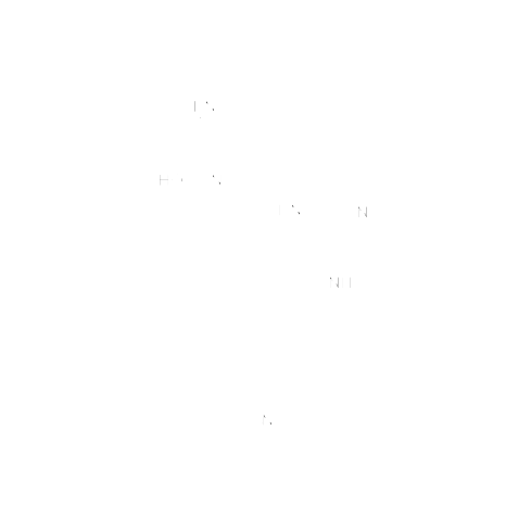 CN1CCCCC1CCNc1nc2cccc(C(N)=NO)c2[nH]1